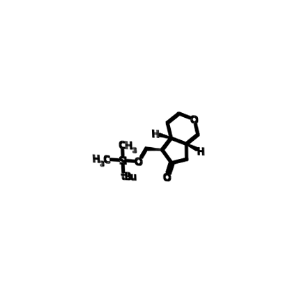 CC(C)(C)[Si](C)(C)OC[C@@H]1C(=O)C[C@H]2COCC[C@H]21